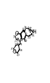 Cc1c2c(cc3c1N(CC1CCOCC1)CCO3)CCNCC2